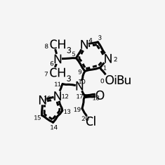 CC(C)COc1ncnc(N(C)C)c1N(Cn1cccn1)C(=O)CCl